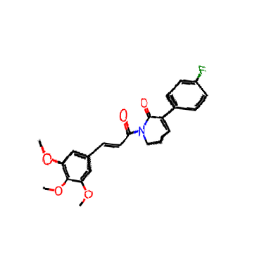 COc1cc(/C=C/C(=O)N2CCC=C(c3ccc(F)cc3)C2=O)cc(OC)c1OC